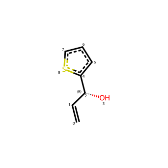 C=C[C@@H](O)c1cccs1